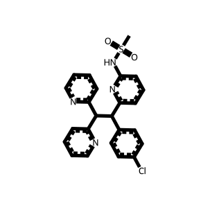 CS(=O)(=O)Nc1cccc(C(c2ccc(Cl)cc2)C(c2ccccn2)c2ccccn2)n1